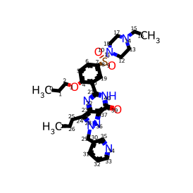 CCCOc1ccc(S(=O)(=O)N2CCN(CC)CC2)cc1-c1nc2c(CCC)n(Cc3cccnc3)nc2c(=O)[nH]1